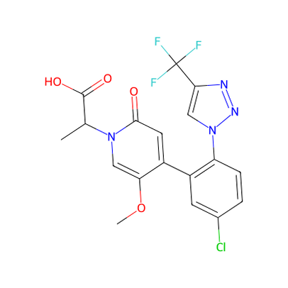 COc1cn(C(C)C(=O)O)c(=O)cc1-c1cc(Cl)ccc1-n1cc(C(F)(F)F)nn1